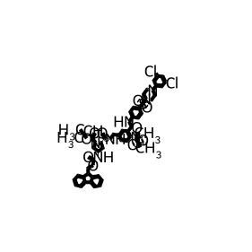 CN(c1ccc(CNC(=O)[C@@H]2C[C@H](NC(=O)OCC3c4ccccc4-c4ccccc43)CN2C(=O)OC(C)(C)C)cc1C(=O)Nc1ccc(S(=O)(=O)N2CCN(c3cc(Cl)cc(Cl)c3)CC2)cc1)S(C)(=O)=O